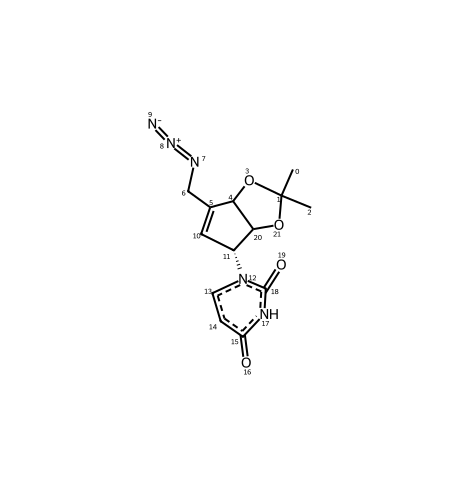 CC1(C)OC2C(CN=[N+]=[N-])=C[C@@H](n3ccc(=O)[nH]c3=O)C2O1